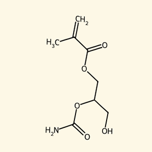 C=C(C)C(=O)OCC(CO)OC(N)=O